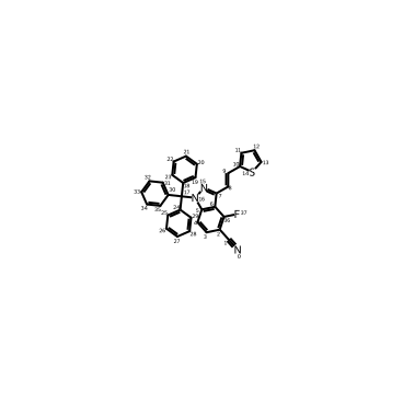 N#Cc1ccc2c(c(C=Cc3cccs3)nn2C(c2ccccc2)(c2ccccc2)c2ccccc2)c1F